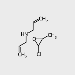 C=CCNCC=C.CC1OC1Cl